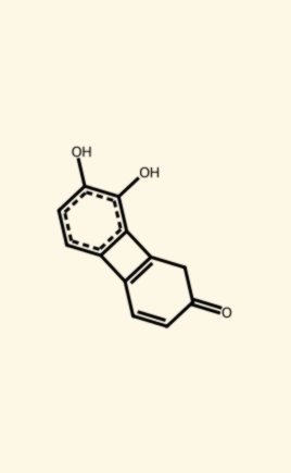 O=C1C=CC2=C(C1)c1c2ccc(O)c1O